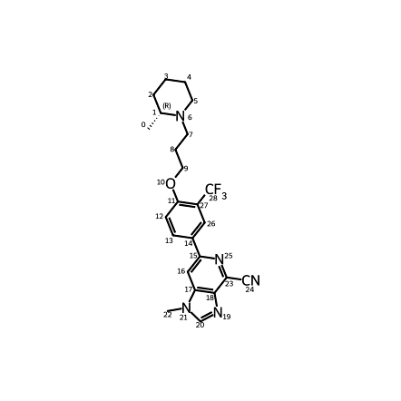 C[C@@H]1CCCCN1CCCOc1ccc(-c2cc3c(ncn3C)c(C#N)n2)cc1C(F)(F)F